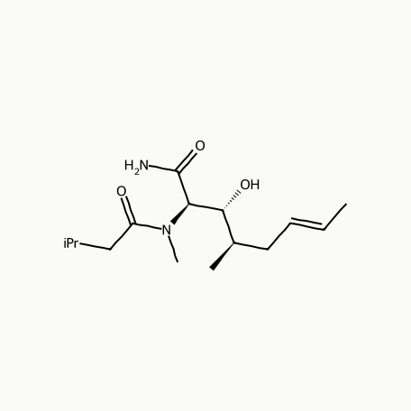 C/C=C/C[C@@H](C)[C@@H](O)[C@H](C(N)=O)N(C)C(=O)CC(C)C